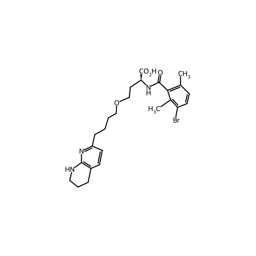 Cc1ccc(Br)c(C)c1C(=O)N[C@@H](CCOCCCCc1ccc2c(n1)NCCC2)C(=O)O